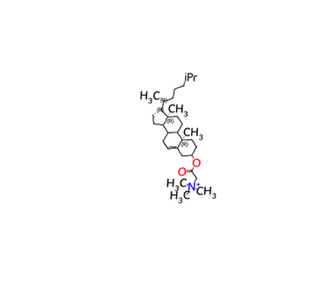 CC(C)CCC[C@@H](C)[C@H]1CCC2C3CC=C4CC(OC(=O)C[N+](C)(C)C)CC[C@]4(C)C3CC[C@@]21C